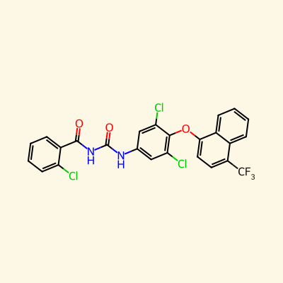 O=C(NC(=O)c1ccccc1Cl)Nc1cc(Cl)c(Oc2ccc(C(F)(F)F)c3ccccc23)c(Cl)c1